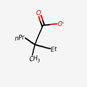 CCCC(C)(CC)C([O])=O